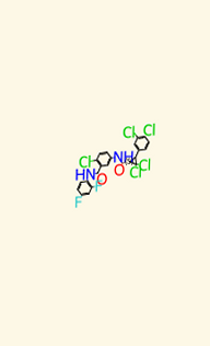 O=C(Nc1ccc(F)cc1F)c1cc(NC(=O)[C@@H]2C(c3ccc(Cl)c(Cl)c3)C2(Cl)Cl)ccc1Cl